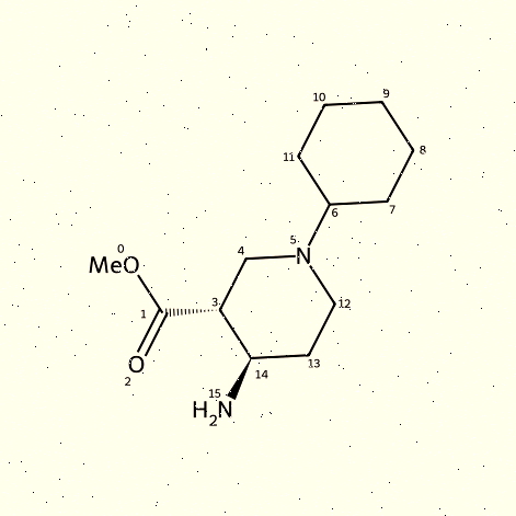 COC(=O)[C@@H]1CN(C2CCCCC2)CC[C@H]1N